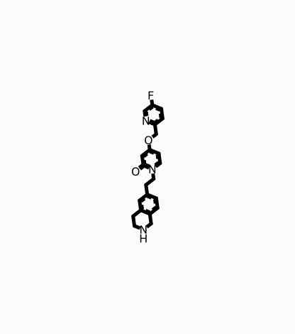 O=c1cc(OCc2ccc(F)cn2)ccn1CCc1ccc2c(c1)CCNC2